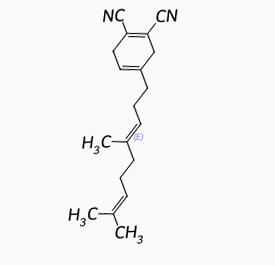 CC(C)=CCC/C(C)=C/CCC1=CCC(C#N)=C(C#N)C1